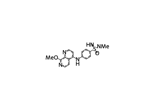 CNS(=N)(=O)c1ccc(Nc2ccnc3c(OC)nccc23)cc1